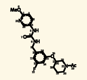 COc1ccc(NC(=O)NCc2cc(F)cc(O[C@@H]3CCCN(C(C)=O)C3)c2)cn1